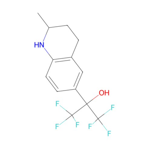 CC1CCc2cc(C(O)(C(F)(F)F)C(F)(F)F)ccc2N1